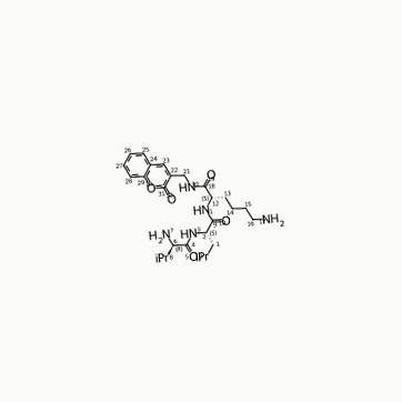 CC(C)C[C@H](NC(=O)[C@H](N)C(C)C)C(=O)N[C@@H](CCCCN)C(=O)NCc1cc2ccccc2oc1=O